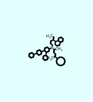 C/C=C(\C=C/CN(/C(C)=C/C=C(\C)c1ccccccccc1)c1ccc(-c2ccc(-c3ccccc3)cc2)c(-c2ccccc2)c1)C1CC=Cc2ccccc21